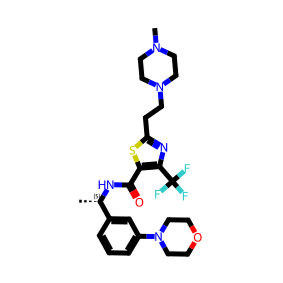 C[C@H](NC(=O)c1sc(CCN2CCN(C)CC2)nc1C(F)(F)F)c1cccc(N2CCOCC2)c1